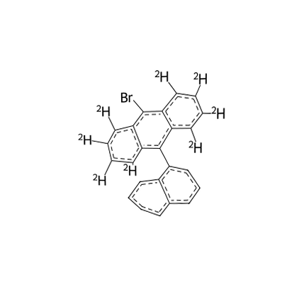 [2H]c1c([2H])c([2H])c2c(-c3cccc4ccccc34)c3c([2H])c([2H])c([2H])c([2H])c3c(Br)c2c1[2H]